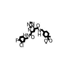 COC(=O)C1(C)CC=C(CNC(=O)c2cc(C(=O)NCc3ccc(F)c(Cl)c3)nc3ncnn23)CC1